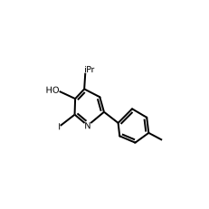 Cc1ccc(-c2cc(C(C)C)c(O)c(I)n2)cc1